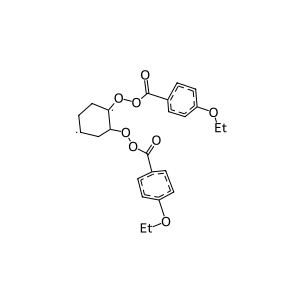 CCOc1ccc(C(=O)OO[C]2CC[CH]CC2OOC(=O)c2ccc(OCC)cc2)cc1